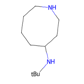 CC(C)(C)NC1CCCCNCC1